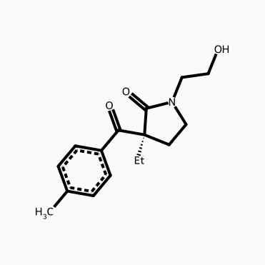 CC[C@@]1(C(=O)c2ccc(C)cc2)CCN(CCO)C1=O